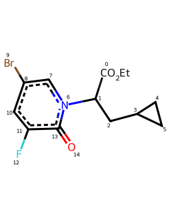 CCOC(=O)C(CC1CC1)n1cc(Br)cc(F)c1=O